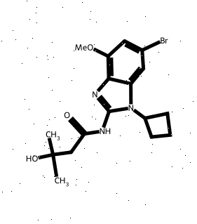 COc1cc(Br)cc2c1nc(NC(=O)CC(C)(C)O)n2C1CCC1